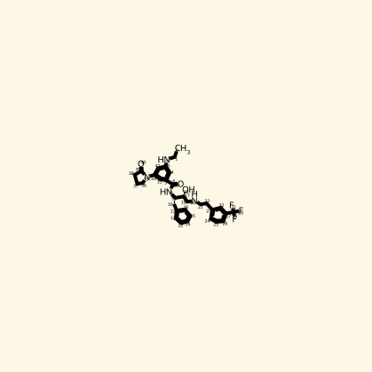 CCNc1cc(C(=O)N[C@@H](Cc2ccccc2)[C@H](O)CNCCc2cccc(C(F)(F)F)c2)cc(N2CCCC2=O)c1